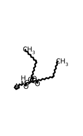 CCCCCCCC/C=C\CCCCCCCC(=O)OCC(COC(=O)NCCN1CCCC1)OC(=O)CCCCCCC/C=C\CCCCCCCC